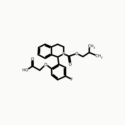 CC(C)COC(=O)N1CCc2ccccc2C1c1cc(F)ccc1OCC(=O)O